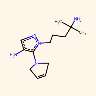 CC(C)(N)CCCn1ncc(N)c1N1CC=CC1